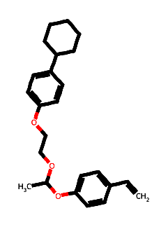 C=Cc1ccc(OC(C)OCCOc2ccc(C3CCCCC3)cc2)cc1